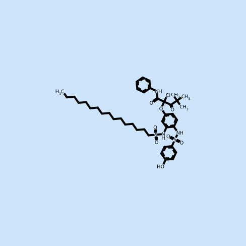 CCCCCCCCCCCCCCCCS(=O)(=O)Nc1cc(OC(Cl)(C(=O)Nc2ccccc2)C(=O)C(C)(C)C)ccc1NS(=O)(=O)c1ccc(O)cc1